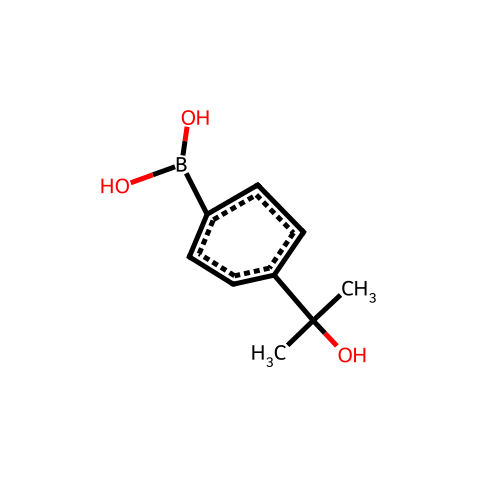 CC(C)(O)c1ccc(B(O)O)cc1